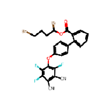 N#Cc1c(F)c(F)c(Oc2ccc(-c3ccccc3C(=O)OC(Br)CCCBr)cc2)c(F)c1C#N